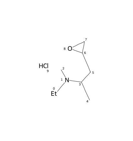 CCN(C)C(C)CC1CO1.Cl